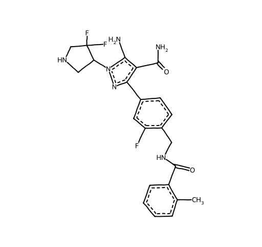 Cc1ccccc1C(=O)NCc1ccc(-c2nn(C3CNCC3(F)F)c(N)c2C(N)=O)cc1F